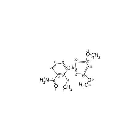 CCc1c(C(N)=O)cccc1-c1cc(OC)cc(OC)c1